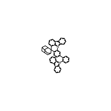 c1ccc(-n2c3ccccc3c3ccccc32)c(-c2ccc3c(c2)-n2c4ccccc4c4cccc(c42)C32C3CC4CC(C3)CC2C4)c1